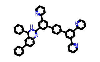 c1ccc(-c2ccc3c(c2)C(c2ccccc2)NC(c2cc(-c4ccc(-c5cc(-c6ccccn6)cc(-c6ccccn6)c5)cc4)cc(-c4ccccn4)c2)=N3)cc1